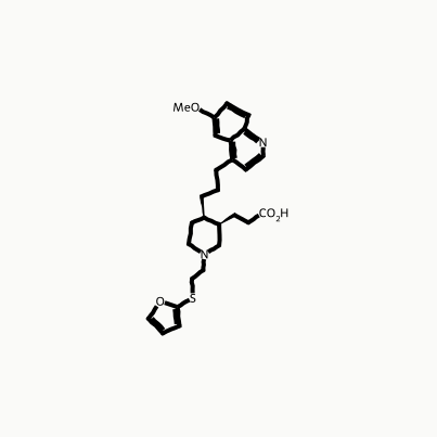 COc1ccc2nccc(CCC[C@@H]3CCN(CCSc4ccco4)C[C@@H]3CCC(=O)O)c2c1